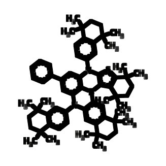 CC1(C)CCC(C)(C)c2cc(N3c4cc5c(cc4B4c6c3cc(-c3ccccc3)cc6N(c3ccc6c(c3)C(C)(C)CCC6(C)C)c3sc6c(c34)C(C)(C)CCC6(C)C)C(C)(C)CCC5(C)C)ccc21